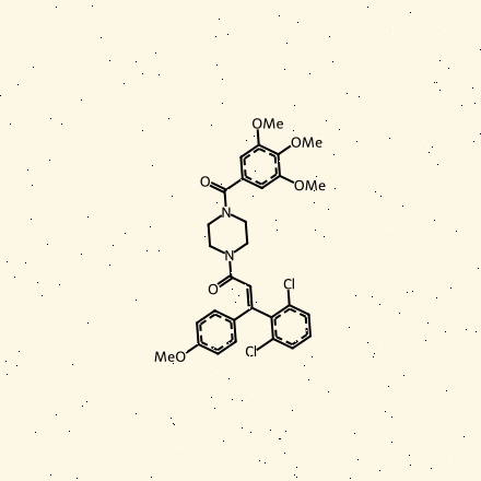 COc1ccc(C(=CC(=O)N2CCN(C(=O)c3cc(OC)c(OC)c(OC)c3)CC2)c2c(Cl)cccc2Cl)cc1